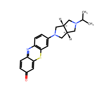 CC(C)N1C[C@H]2CN(c3ccc4nc5ccc(=O)cc-5sc4c3)C[C@H]2C1